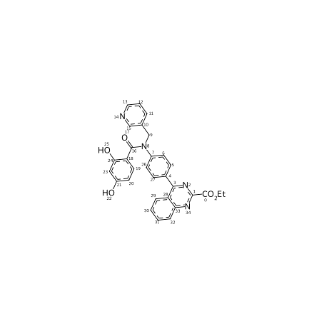 CCOC(=O)c1nc(-c2ccc(N(Cc3cccnc3)C(=O)c3ccc(O)cc3O)cc2)c2ccccc2n1